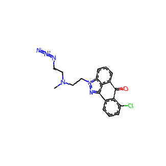 CN(CCN=[N+]=[N-])CCn1nc2c3c(cccc31)C(=O)c1c(Cl)cccc1-2